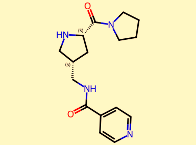 O=C(NC[C@@H]1CN[C@H](C(=O)N2CCCC2)C1)c1ccncc1